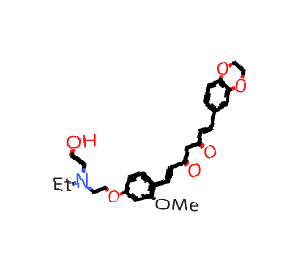 CCN(CCO)CCOc1ccc(/C=C/C(=O)CC(=O)/C=C/c2ccc3c(c2)OCCO3)c(OC)c1